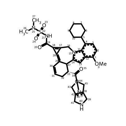 COc1ccc(C2CCCCC2)c2c1cc1n2CC2=C(C(=O)NS(=O)(=O)N(C)C)C2=C2C=CC[C@@H](C(=O)N3CC45CNCC4(COC5)C3)C21